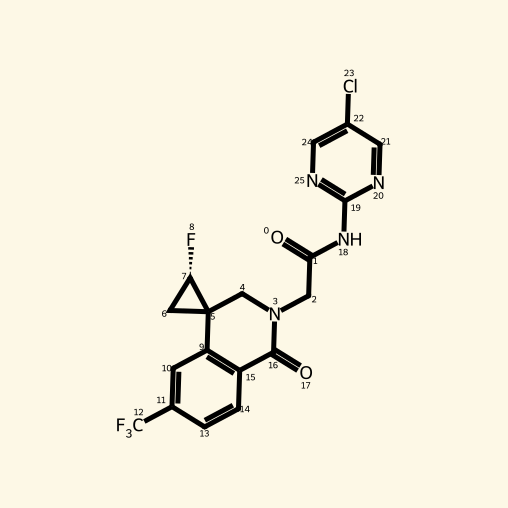 O=C(CN1CC2(C[C@@H]2F)c2cc(C(F)(F)F)ccc2C1=O)Nc1ncc(Cl)cn1